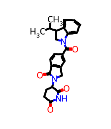 CC(C)C1CN(C(=O)c2ccc3c(c2)CN(C2CCC(=O)NC2=O)C3=O)c2ccccc21